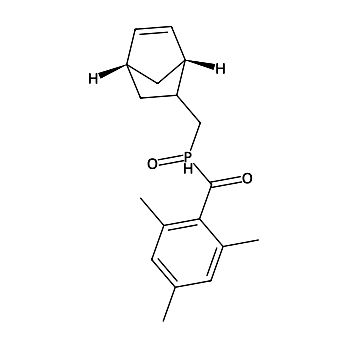 Cc1cc(C)c(C(=O)[PH](=O)CC2C[C@@H]3C=C[C@H]2C3)c(C)c1